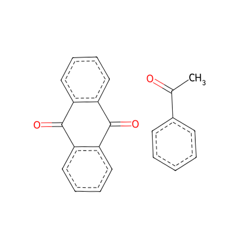 CC(=O)c1ccccc1.O=C1c2ccccc2C(=O)c2ccccc21